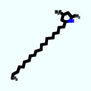 CCCCCCCCCCCCCCCCCCCC1CC(C)CC(C)N1